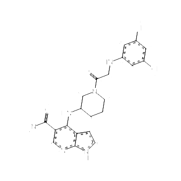 NC(=O)c1cnc2[nH]ccc2c1NC1CCCN(C(=O)CNc2cc(Cl)cc(Cl)c2)C1